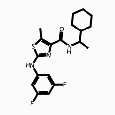 Cc1sc(Nc2cc(F)cc(F)c2)nc1C(=O)NC(C)C1CCCCC1